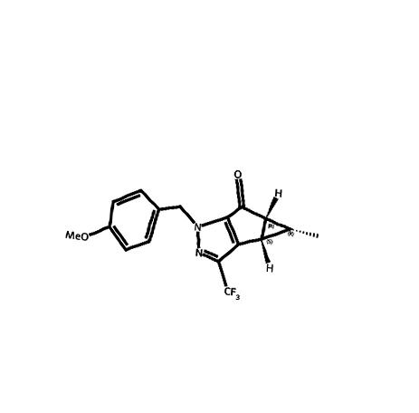 COc1ccc(Cn2nc(C(F)(F)F)c3c2C(=O)[C@@H]2[C@H](C)[C@H]32)cc1